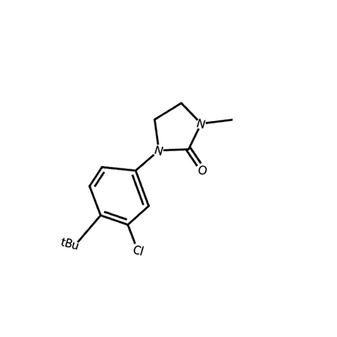 CN1CCN(c2ccc(C(C)(C)C)c(Cl)c2)C1=O